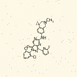 CN1Cc2cc(Nc3ncc4c(=O)n(-c5c(Cl)cccc5Cl)nc(-c5cccc(F)n5)c4n3)ccc2C2(CC2)C1